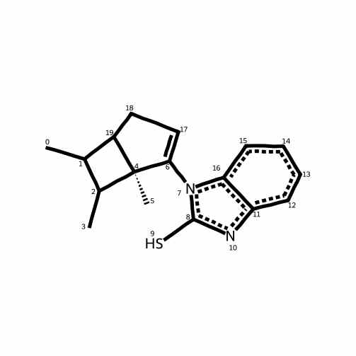 CC1C(C)[C@]2(C)C(n3c(S)nc4ccccc43)=CCC12